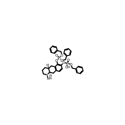 CCCN1CCC[C@@H]2Cc3c(ccc(OP(=O)(O)OCc4ccccc4)c3OP(=O)(OCc3ccccc3)OCc3ccccc3)C[C@H]21